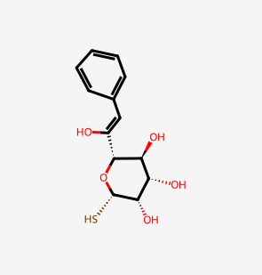 OC(=Cc1ccccc1)[C@H]1O[C@@H](S)[C@@H](O)[C@@H](O)[C@@H]1O